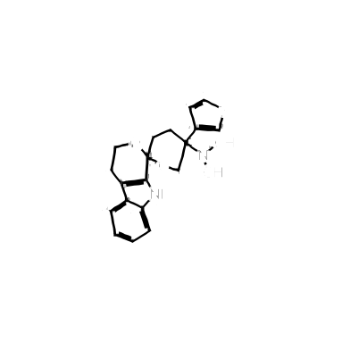 CN(C)C1(c2ccsc2)CCC2(CC1)OCCc1c2[nH]c2ccccc12